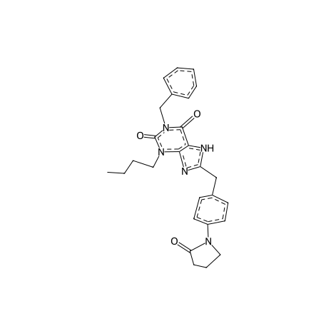 CCCCn1c(=O)n(Cc2ccccc2)c(=O)c2[nH]c(Cc3ccc(N4CCCC4=O)cc3)nc21